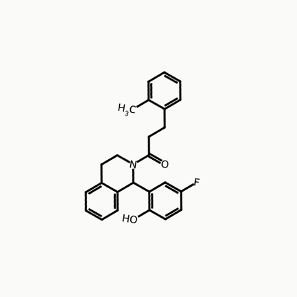 Cc1ccccc1CCC(=O)N1CCc2ccccc2C1c1cc(F)ccc1O